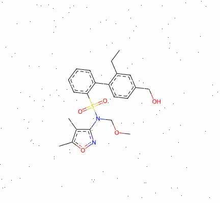 CCc1cc(CO)ccc1-c1ccccc1S(=O)(=O)N(COC)c1noc(C)c1C